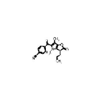 CCCC1C(=O)Oc2c(C)c(C(=O)c3ccc(C#N)cc3)n(C)c21